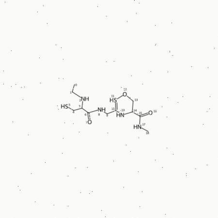 CCNC(CS)C(=O)NCC1=[SH]OCC(C(=O)NC)N1